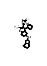 Cc1nc2ccc(NC3Cc4ccccc4C3)cc2c(-c2ccccc2)c1-c1noc(=O)[nH]1